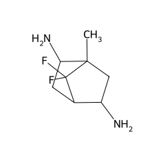 CC12CC(N)C(CC1N)C2(F)F